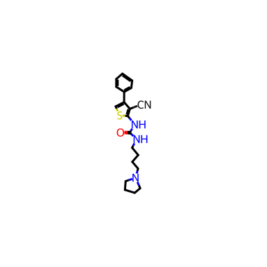 N#Cc1c(-c2ccccc2)csc1NC(=O)NCCCCN1CCCC1